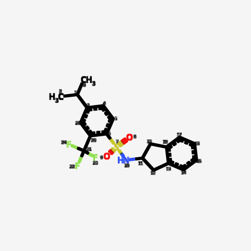 CC(C)c1ccc(S(=O)(=O)NC2Cc3c[c]ccc3C2)c(C(F)(F)F)c1